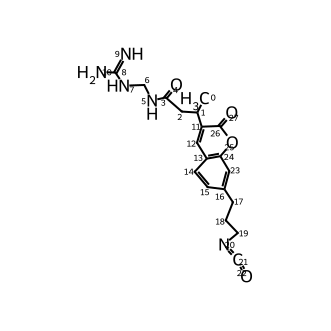 CC(CC(=O)NCNC(=N)N)c1cc2ccc(CCCN=C=O)cc2oc1=O